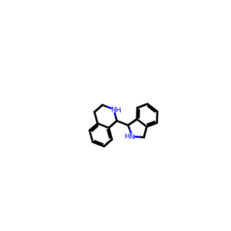 c1ccc2c(c1)CN[C]2C1NCCc2ccccc21